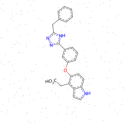 O=C(O)Cc1c(Oc2cccc(-c3nnc(Cc4ccccc4)[nH]3)c2)ccc2[nH]ccc12